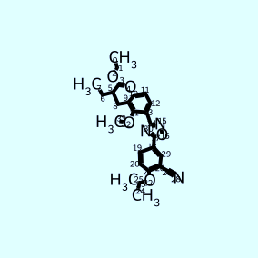 CCOC(=O)C(CC)Cc1cccc(-c2noc(-c3ccc(OC(C)C)c(C#N)c3)n2)c1OC